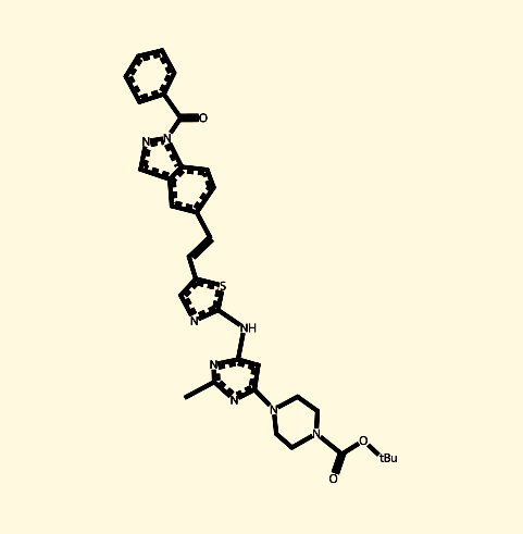 Cc1nc(Nc2ncc(C=Cc3ccc4c(cnn4C(=O)c4ccccc4)c3)s2)cc(N2CCN(C(=O)OC(C)(C)C)CC2)n1